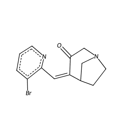 O=C1CN2CCC(C2)C1=Cc1ncccc1Br